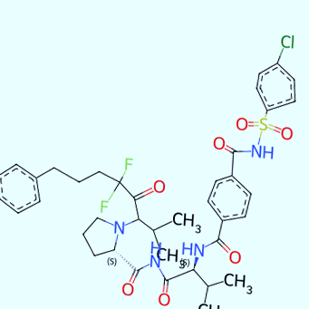 CC(C)C(C(=O)C(F)(F)CCCc1ccccc1)N1CCC[C@H]1C(=O)NC(=O)[C@@H](NC(=O)c1ccc(C(=O)NS(=O)(=O)c2ccc(Cl)cc2)cc1)C(C)C